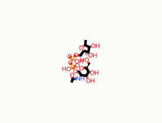 CC(=O)N[C@@H]1[C@H](OP(=O)(O)OP(=O)(O)OCC2OC(C)[C@H](O)[C@@H]2O)O[C@@H](CO)[C@H](O)[C@H]1O